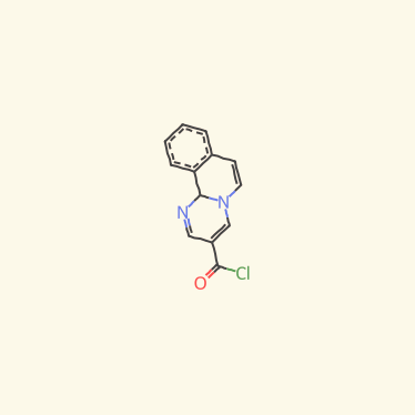 O=C(Cl)C1=CN2C=Cc3ccccc3C2N=C1